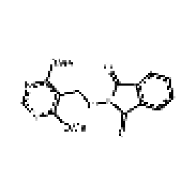 COc1ncnc(OC)c1CON1C(=O)c2ccccc2C1=O